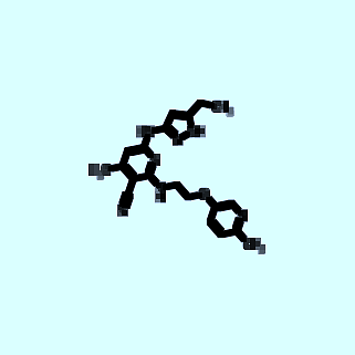 CCc1cc(Nc2cc(C)c(C#N)c(NCCOc3ccc(C)nc3)n2)n[nH]1